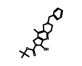 Cc1c2c(nc3c1CN(C(=O)OC(C)(C)C)C3O)CCN(Cc1ccccc1)C2